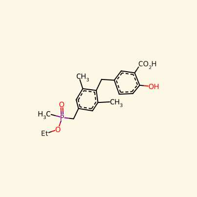 CCOP(C)(=O)Cc1cc(C)c(Cc2ccc(O)c(C(=O)O)c2)c(C)c1